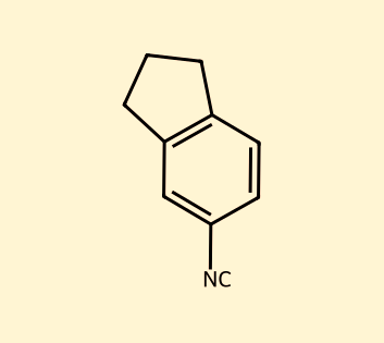 [C-]#[N+]c1ccc2c(c1)CCC2